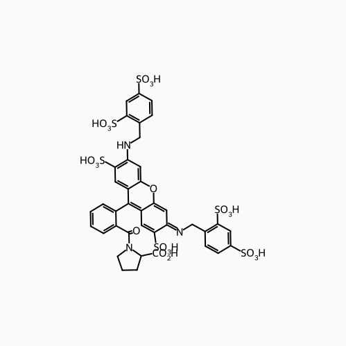 O=C(O)C1CCCN1C(=O)c1ccccc1-c1c2cc(S(=O)(=O)O)/c(=N/Cc3ccc(S(=O)(=O)O)cc3S(=O)(=O)O)cc-2oc2cc(NCc3ccc(S(=O)(=O)O)cc3S(=O)(=O)O)c(S(=O)(=O)O)cc12